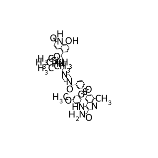 COc1cccc(Nc2c(C(N)=O)cnc3c(C)cc(S(=O)(=O)c4cccc(C(=O)N5CCN(CCNCC(O[Si](C)(C)C(C)(C)C)c6ccc(O)c7[nH]c(=O)ccc67)CC5)c4)cc23)c1